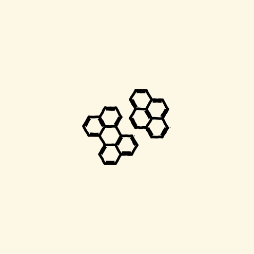 [c]1ccc2ccc3cccc4ccc1c2c43.[c]1ccc2cccc3c4cccc5cccc(c1c23)c54